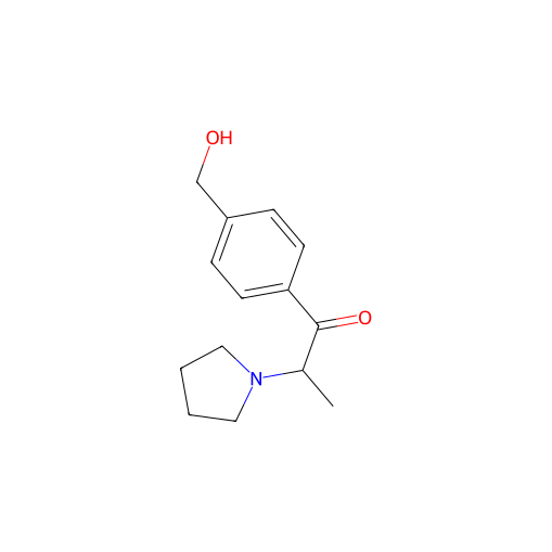 CC(C(=O)c1ccc(CO)cc1)N1CCCC1